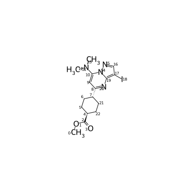 COC(=O)[C@H]1CC[C@H](c2cc(N(C)C)n3ncc(I)c3n2)CC1